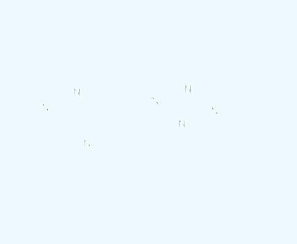 c1ccc(-c2nc(-c3ccccc3)nc(-n3c4ccccc4c4c5c6ncncc6n(-c6ccccc6)c5ccc43)n2)cc1